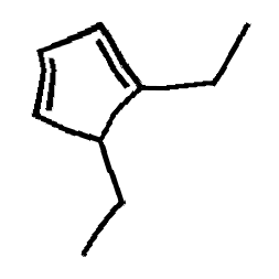 CCC1=CC=CC1CC